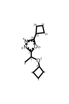 CC(OC1CCC1)c1nnc(C2CCC2)o1